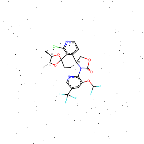 C[C@H]1OC2(CC[C@@]3(COC(=O)N3c3ncc(C(F)(F)F)cc3OC(F)F)c3ccnc(Cl)c32)O[C@@H]1C